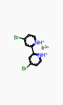 Brc1cc[nH+]c(-c2cc(Br)cc[nH+]2)c1.[Ir+3]